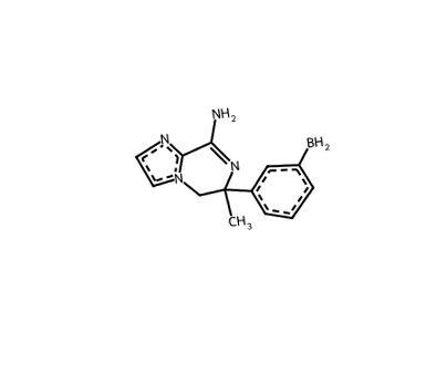 Bc1cccc(C2(C)Cn3ccnc3C(N)=N2)c1